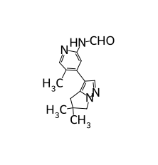 Cc1cnc(NC=O)cc1-c1cnn2c1CC(C)(C)C2